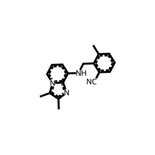 Cc1cccc(C#N)c1CNc1cccn2c(C)c(C)nc12